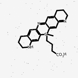 C[Si]1(CCCC(=O)O)c2cc3c(cc2N=c2cc4c(cc21)=NCCC4)CCCN3